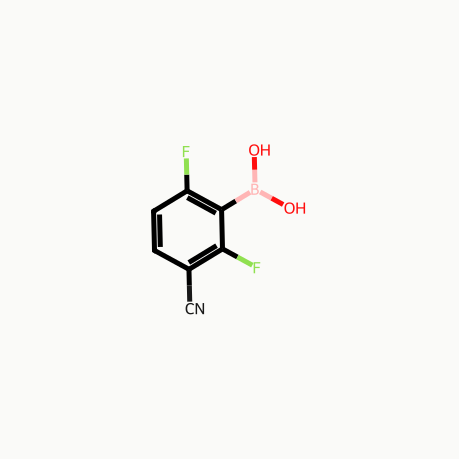 N#Cc1ccc(F)c(B(O)O)c1F